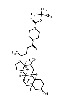 CC(CCC(=O)N1CCN(C(=O)OC(C)(C)C)CC1)[C@H]1CC[C@H]2[C@@H]3CC[C@@H]4C[C@H](O)CC[C@]4(C)[C@H]3C[C@H](O)[C@]12C